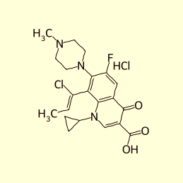 CC=C(Cl)c1c(N2CCN(C)CC2)c(F)cc2c(=O)c(C(=O)O)cn(C3CC3)c12.Cl